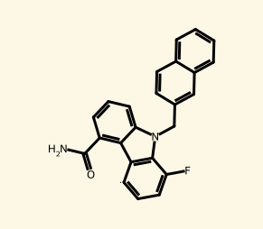 NC(=O)c1cccc2c1c1[c]ccc(F)c1n2Cc1ccc2ccccc2c1